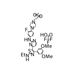 CCNc1nc(-c2cc(OC)cc(OC)c2)c(-c2ccnc(Nc3ccc(N4CCN(CCS(C)(=O)=O)CC4)c(F)c3)n2)s1.O=C(O)C(F)(F)F